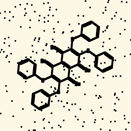 [Se]=c1c(Sc2ccccc2)c(Sc2ccccc2)c(=[Se])c2c(=[Se])c(Sc3ccccc3)c(Sc3ccccc3)c(=[Se])c1=2